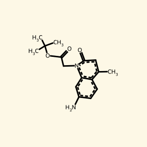 Cc1cc(=O)n(CC(=O)OC(C)(C)C)c2cc(N)ccc12